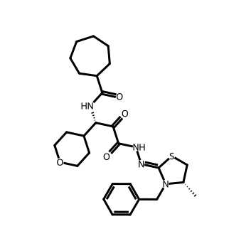 C[C@H]1CS/C(=N\NC(=O)C(=O)[C@@H](NC(=O)C2CCCCCC2)C2CCOCC2)N1Cc1ccccc1